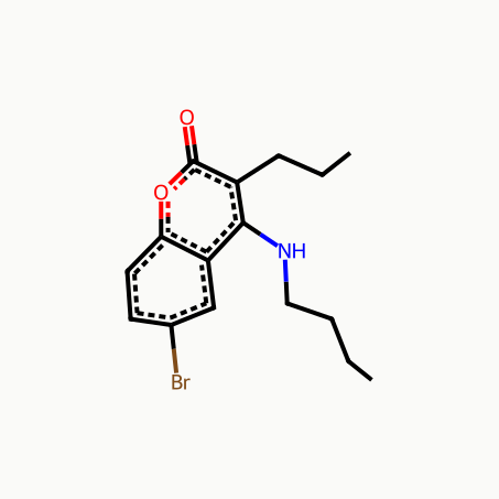 CCCCNc1c(CCC)c(=O)oc2ccc(Br)cc12